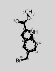 COC(=O)c1cc2cc(CBr)cnc2[nH]1